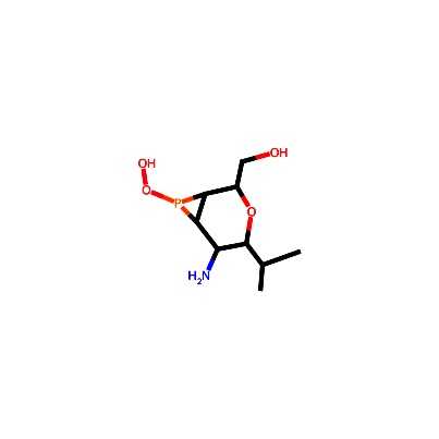 CC(C)C1OC(CO)C2C(C1N)P2OO